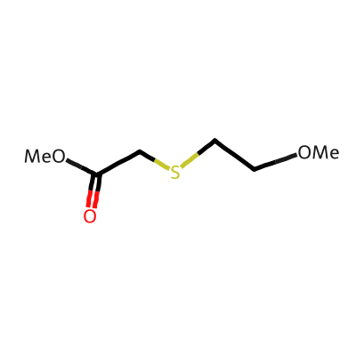 COCCSCC(=O)OC